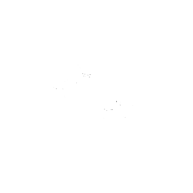 CCn1c2ccccc2c2cccc(CCc3ccc4ccc5cccc6ccc3c4c56)c21